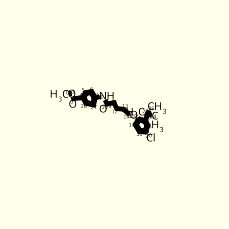 COC(=O)c1ccc(NC(=O)CCCCOc2ccc(Cl)cc2C(C)(C)C)cc1